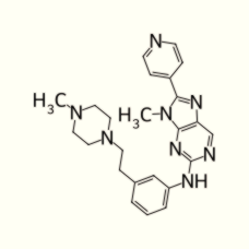 CN1CCN(CCc2cccc(Nc3ncc4nc(-c5ccncc5)n(C)c4n3)c2)CC1